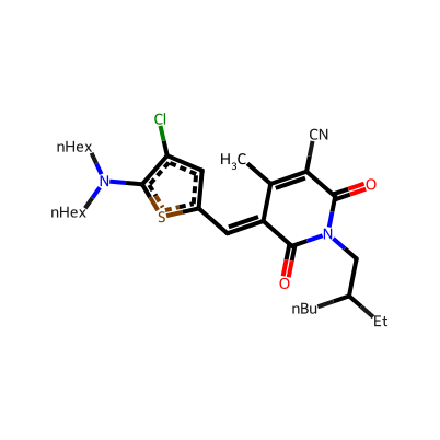 CCCCCCN(CCCCCC)c1sc(/C=C2/C(=O)N(CC(CC)CCCC)C(=O)C(C#N)=C2C)cc1Cl